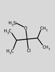 CC(C)C(Cl)(O[SiH3])C(C)C